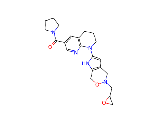 O=C(c1cnc2c(c1)CCCN2c1cc2c([nH]1)CON(CC1CO1)C2)N1CCCC1